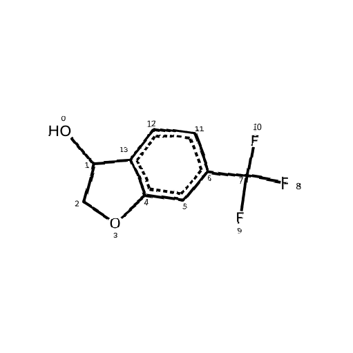 OC1COc2cc(C(F)(F)F)ccc21